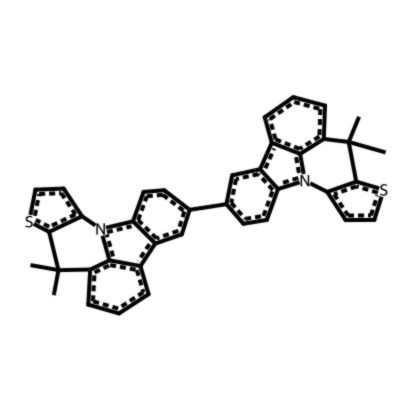 CC1(C)c2sccc2-n2c3ccc(-c4ccc5c(c4)c4cccc6c4n5-c4ccsc4C6(C)C)cc3c3cccc1c32